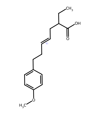 CCC(C/C=C/CCc1ccc(OC)cc1)C(=O)O